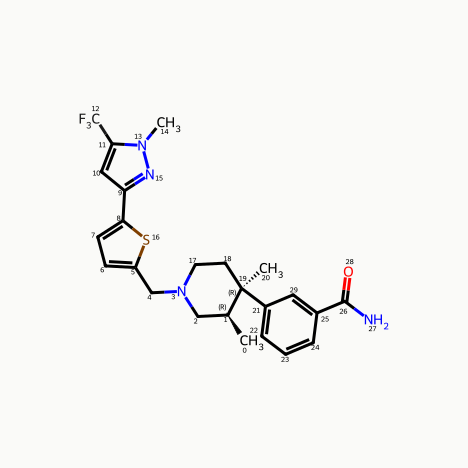 C[C@H]1CN(Cc2ccc(-c3cc(C(F)(F)F)n(C)n3)s2)CC[C@@]1(C)c1cccc(C(N)=O)c1